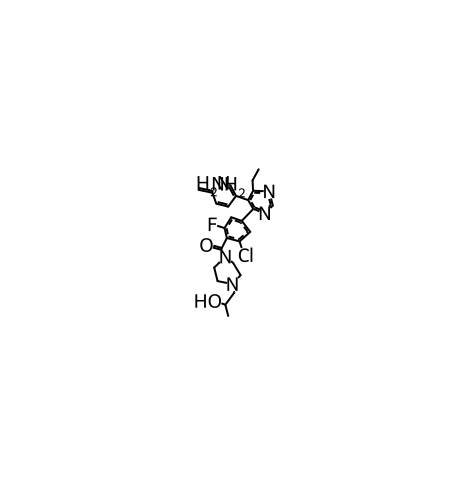 C=C(N)/C=C\C(=C/N)c1c(CC)ncnc1-c1cc(F)c(C(=O)N2CCN(CC(C)O)CC2)c(Cl)c1